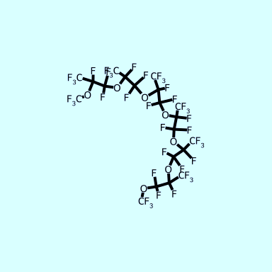 FC(F)(F)OC(F)(F)C(F)(OC(F)(F)C(F)(OC(F)(F)C(F)(OC(F)(F)C(F)(OC(F)(F)C(F)(OC(F)(F)C(F)(OC(F)(F)F)C(F)(F)F)C(F)(F)F)C(F)(F)F)C(F)(F)F)C(F)(F)F)C(F)(F)F